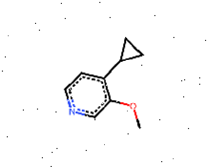 COc1[c]nccc1C1CC1